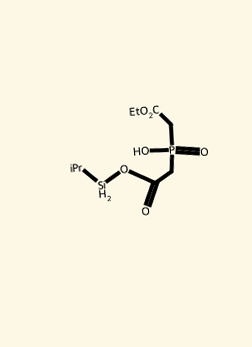 CCOC(=O)CP(=O)(O)CC(=O)O[SiH2]C(C)C